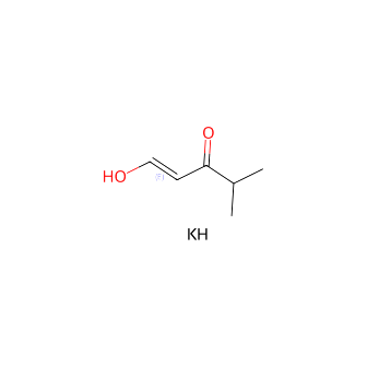 CC(C)C(=O)/C=C/O.[KH]